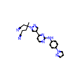 CC(CC#N)(CCC#N)n1cc(-c2ccnc(Nc3ccc(-n4cccn4)cc3)n2)cn1